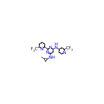 CC1CC1Nc1cc(Nc2ccnc(C(F)(F)F)c2)nc(-c2cccc(C(F)(F)F)n2)n1